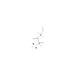 CCC(C)(C)C(C)C(F)(F)S(=O)(=O)O